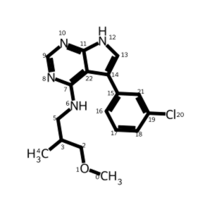 COCC(C)CNc1ncnc2[nH]cc(-c3cccc(Cl)c3)c12